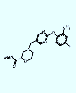 CNC(=O)[C@@H]1CN(Cc2cnc(Oc3ccc(F)cc3C)nc2)CCO1